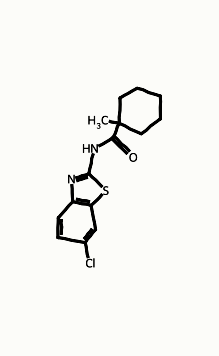 CC1(C(=O)Nc2nc3ccc(Cl)cc3s2)CCCCC1